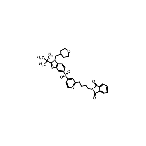 CC(C)(C)c1nc2cc(S(=O)(=O)c3ccnc(CCCCN4C(=O)c5ccccc5C4=O)c3)ccc2n1CC1CCOCC1